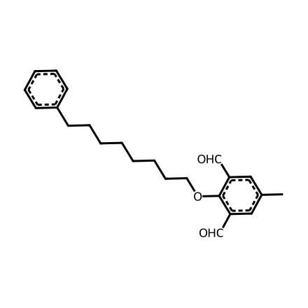 Cc1cc(C=O)c(OCCCCCCCCc2ccccc2)c(C=O)c1